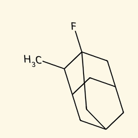 CC1C2CC3CC(C2)CC1(F)C3